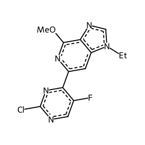 CCn1cnc2c(OC)nc(-c3nc(Cl)ncc3F)cc21